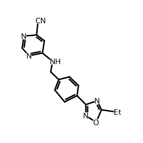 CCc1nc(-c2ccc(CNc3cc(C#N)ncn3)cc2)no1